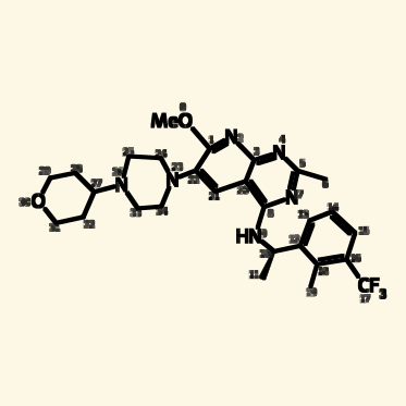 COc1nc2nc(C)nc(N[C@H](C)c3cccc(C(F)(F)F)c3C)c2cc1N1CCN(C2CCOCC2)CC1